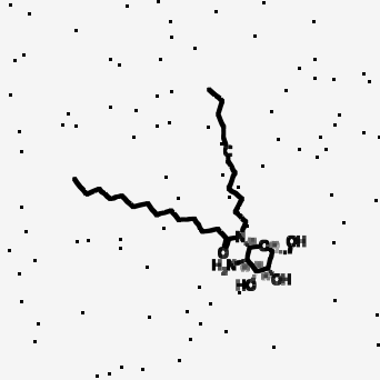 CCCCCCCCCCCCCC(=O)N(CCCCCCCCCCCC)[C@@H]1O[C@H](CO)[C@H](O)[C@H](O)[C@H]1N